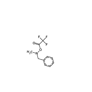 CN(Cc1ccccc1)OC(=O)C(F)(F)F